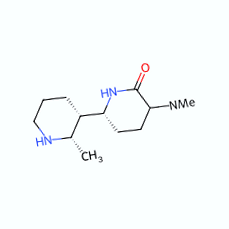 CNC1CC[C@H]([C@H]2CCCN[C@H]2C)NC1=O